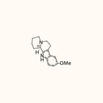 COc1ccc2[nH]c3c(c2c1)CCN1CCCC[C@H]31